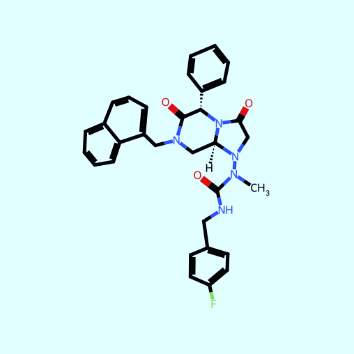 CN(C(=O)NCc1ccc(F)cc1)N1CC(=O)N2[C@@H](c3ccccc3)C(=O)N(Cc3cccc4ccccc34)C[C@@H]21